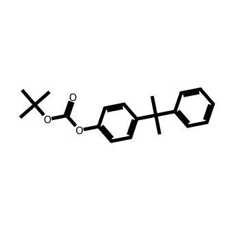 CC(C)(C)OC(=O)Oc1ccc(C(C)(C)c2ccccc2)cc1